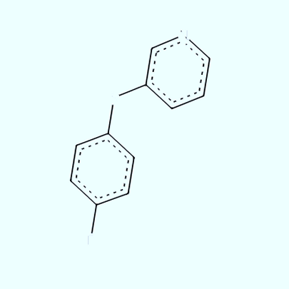 Fc1ccc(Sc2cccnc2)cc1